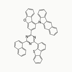 c1ccc2cc3c(cc2c1)c1ccccc1n3-c1cc(-c2nc(-c3cccc4ccccc34)nc(-c3cccc4c3sc3ccccc34)n2)cc2oc3ccccc3c12